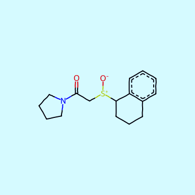 O=C(C[S+]([O-])C1CCCc2ccccc21)N1CCCC1